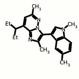 CCC(CC)c1cc(C)nn2c(-c3cn(C)c4ccc(C)cc34)c(C)nc12